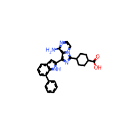 Nc1nccn2c(C3CCC(C(=O)O)CC3)nc(-c3cc4cccc(-c5ccccc5)c4[nH]3)c12